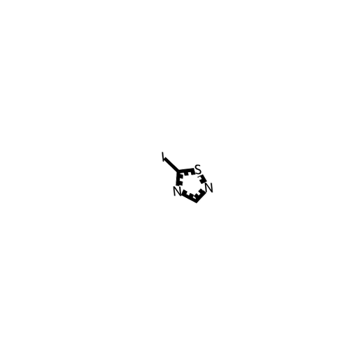 Ic1ncns1